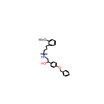 COc1ccccc1CCCC(C)(C)NCC(O)c1ccc(OCc2ccccc2)cc1